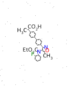 CCOC(=O)N(c1ccccc1F)c1c(-c2ccc(-c3ccc(C(C)C(=O)O)cc3)cc2)noc1C